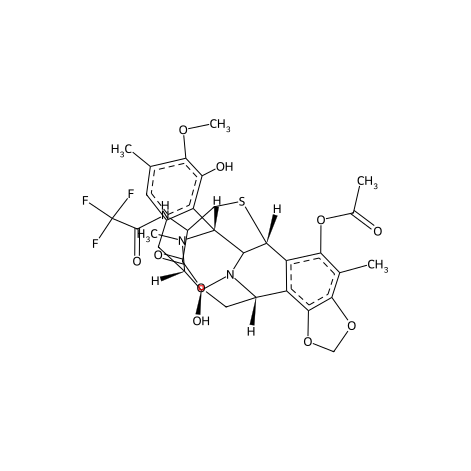 COc1c(C)cc2c(c1O)[C@@H]1C3[C@@H]4SCC(NC(=O)C(F)(F)F)C(=O)OC[C@@H](c5c6c(c(C)c(OC(C)=O)c54)OCO6)N3[C@@H](O)[C@H](C2)N1C